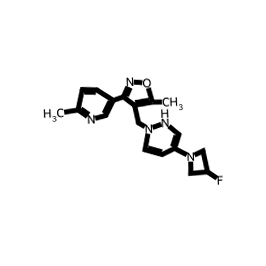 Cc1ccc(-c2noc(C)c2CN2C=CC(N3CC(F)C3)=CN2)cn1